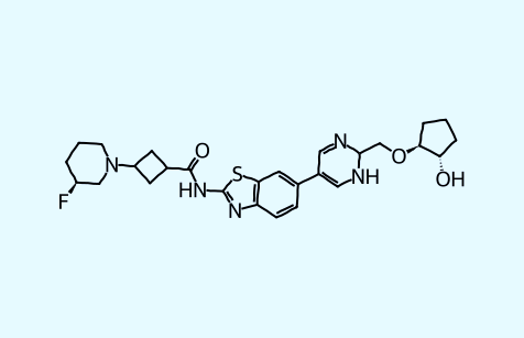 O=C(Nc1nc2ccc(C3=CNC(CO[C@H]4CCC[C@@H]4O)N=C3)cc2s1)C1CC(N2CCC[C@H](F)C2)C1